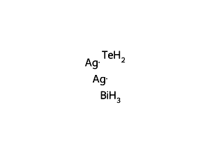 [Ag].[Ag].[BiH3].[TeH2]